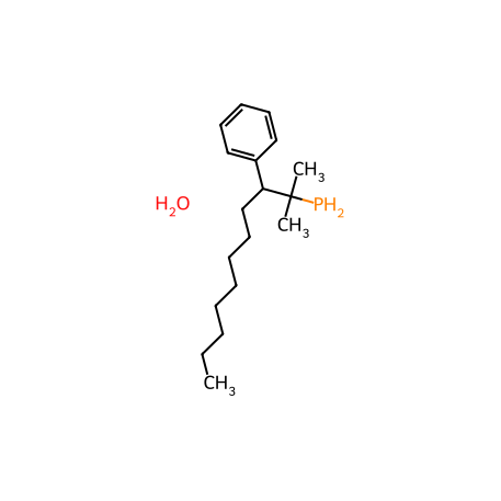 CCCCCCCCC(c1ccccc1)C(C)(C)P.O